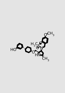 COc1ccc(CN(C2C[C@@H](C)N[C@H]2CO[C@H]2CC[C@@H](c3cccc(O)c3)CC2)S(C)(=O)=O)cc1